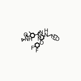 Cc1cc(-c2cnc3c(NCCN4CCOCC4)cc(Oc4ccc(F)c(F)c4)nn23)ccc1C(=O)NC1CC1